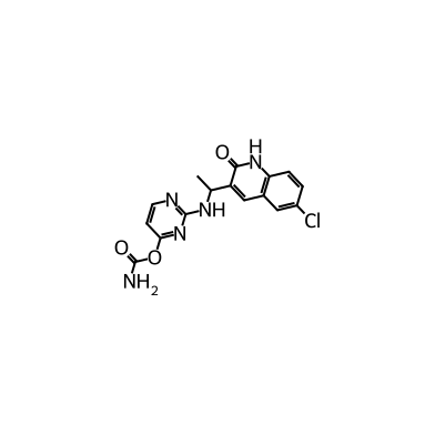 CC(Nc1nccc(OC(N)=O)n1)c1cc2cc(Cl)ccc2[nH]c1=O